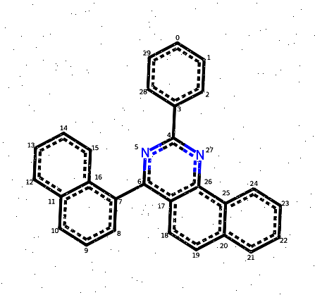 c1ccc(-c2nc(-c3cccc4ccccc34)c3ccc4ccccc4c3n2)cc1